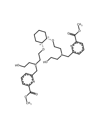 COC(=O)c1cccc(CN(CCO)CCO[C@H]2CCCC[C@H]2OCCN(CCO)Cc2cccc(C(=O)OC)n2)n1